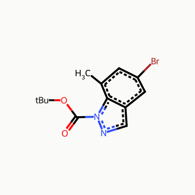 Cc1cc(Br)cc2cnn(C(=O)OC(C)(C)C)c12